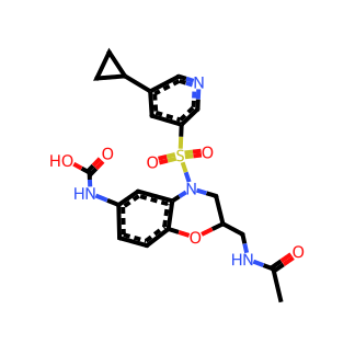 CC(=O)NCC1CN(S(=O)(=O)c2cncc(C3CC3)c2)c2cc(NC(=O)O)ccc2O1